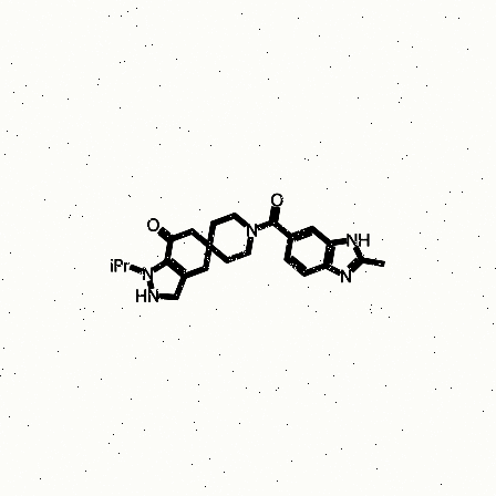 Cc1nc2ccc(C(=O)N3CCC4(CC3)CC(=O)C3=C(CNN3C(C)C)C4)cc2[nH]1